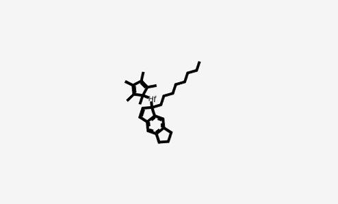 CCCCCCCC[C]1([Hf][C]2(C)C(C)=C(C)C(C)=C2C)C=Cc2cc3c(cc21)CCC3